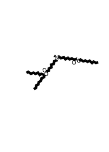 CCCCCCCCCOCC(=O)CCCCCCCN(C)CCCCCCCC(=O)OC(CCCCCCCC)CCCCCCCC